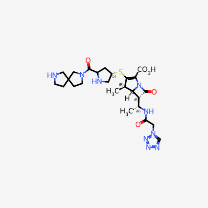 C[C@@H](NC(=O)Cn1cnnn1)[C@H]1C(=O)N2C(C(=O)O)=C(S[C@@H]3CNC(C(=O)N4CCC5(CCNC5)C4)C3)[C@H](C)[C@H]12